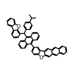 CC(C)c1ccc(C(c2c3ccccc3c(-c3ccc4oc5cc6cc7ccccc7cc6cc5c4c3)c3ccccc23)c2cccc3c2oc2ccccc23)cc1